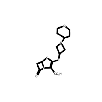 O=C(O)C1=C(SC2CN(C3CCOCC3)C2)SC2CC(=O)N12